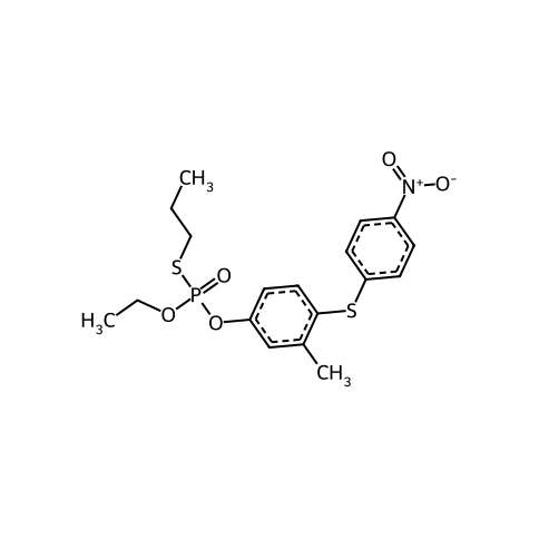 CCCSP(=O)(OCC)Oc1ccc(Sc2ccc([N+](=O)[O-])cc2)c(C)c1